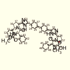 COC(=O)N[C@@H](C(=O)N1[C@@H](c2ccccc2)CC[C@H]1c1ncc(-c2ccc(-c3ccc(-c4cnc([C@H]5CCCN5C(=O)[C@@H](c5ccccc5)N(C)C(=O)O)[nH]4)cc3)cc2)[nH]1)c1ccccc1